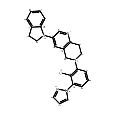 Clc1c(N2CCc3ncc(N4CCc5ccccc54)cc3C2)cccc1-n1cccn1